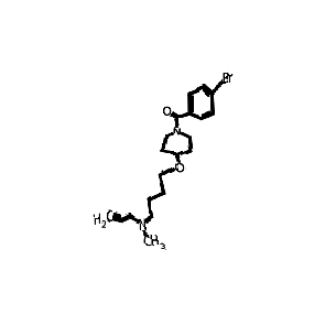 C=CCN(C)CCCCOC1CCN(C(=O)c2ccc(Br)cc2)CC1